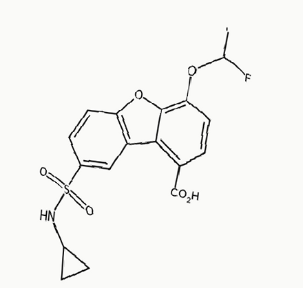 O=C(O)c1ccc(OC(F)F)c2oc3ccc(S(=O)(=O)NC4CC4)cc3c12